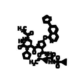 C=CC(=O)NC[C@@H](C(=O)N1C[C@H](Oc2nccc3ccc(-c4cccs4)cc23)C[C@H]1C(=O)N[C@]1(C(=O)NS(=O)(=O)C2CC2)C[C@H]1C=C)N(C(=O)O)C1CCCC1